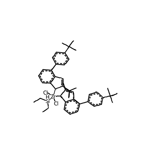 CC[SiH](CC)[Zr]([Cl])([Cl])([CH]1C(C)=Cc2c(-c3ccc(C(C)(C)C)cc3)cccc21)[CH]1C(C(C)C)=Cc2c(-c3ccc(C(C)(C)C)cc3)cccc21